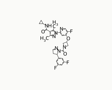 Cc1nn(-c2cc(OC3CN(C(=O)N4N=CCC4c4cc(F)cc(F)c4)C3)c(F)cn2)c(C)c1C(=O)NC1CC1